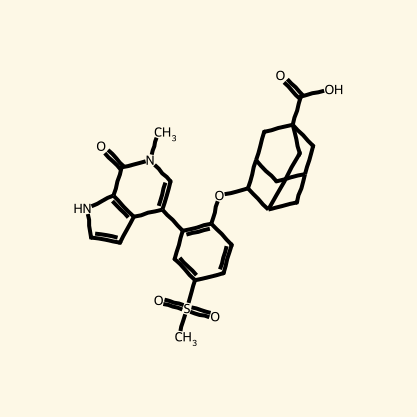 Cn1cc(-c2cc(S(C)(=O)=O)ccc2OC2C3CC4CC2CC(C(=O)O)(C4)C3)c2cc[nH]c2c1=O